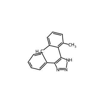 Cc1cccc(C)c1-c1[nH]nnc1-c1ccccc1